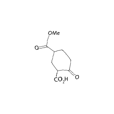 COC(=O)C1CCC(=O)C(C(=O)O)C1